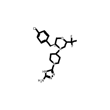 CC(F)(F)C1CN(C2CCN(c3nnc(N)[nH]3)CC2)[C@@H](Cc2ccc(Cl)cc2)CO1